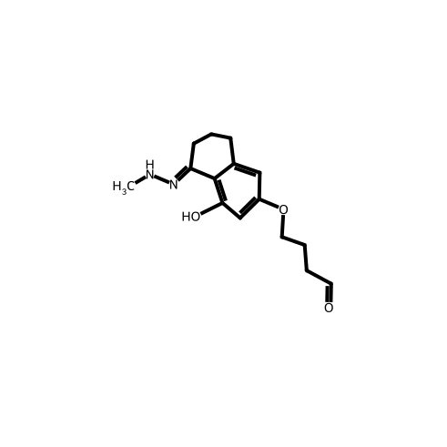 CN/N=C1\CCCc2cc(OCCCC=O)cc(O)c21